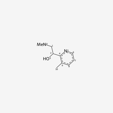 CNCC(O)c1ncccc1C